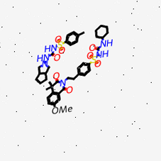 COc1ccc2c(c1)C(=O)N(CCc1ccc(S(=O)(=O)NC(=O)NC3CCCCC3)cc1)C(=O)C2(C)C.Cc1ccc(S(=O)(=O)NC(=O)NN2CC3CCCC3C2)cc1